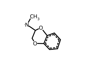 C[N]C1COc2ccccc2O1